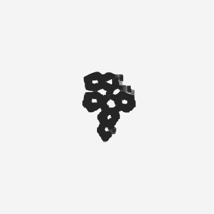 C[C@H]1NC=c2ccccc2=C1N1c2ccccc2-c2cc3c(cc2-c2ccccc21)OCC3